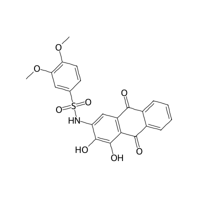 COc1ccc(S(=O)(=O)Nc2cc3c(c(O)c2O)C(=O)c2ccccc2C3=O)cc1OC